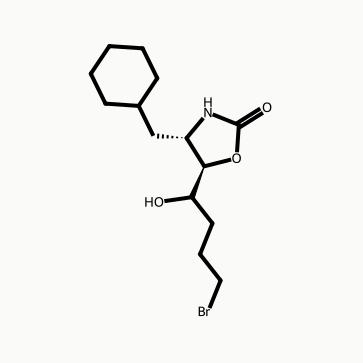 O=C1N[C@@H](CC2CCCCC2)[C@H](C(O)CCCBr)O1